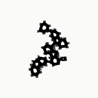 N#Cc1ccc(-c2ccc3sc4ccccc4c3c2)c2c1sc1c(-n3c4ccccc4c4ccc(-c5ccccc5)cc43)cccc12